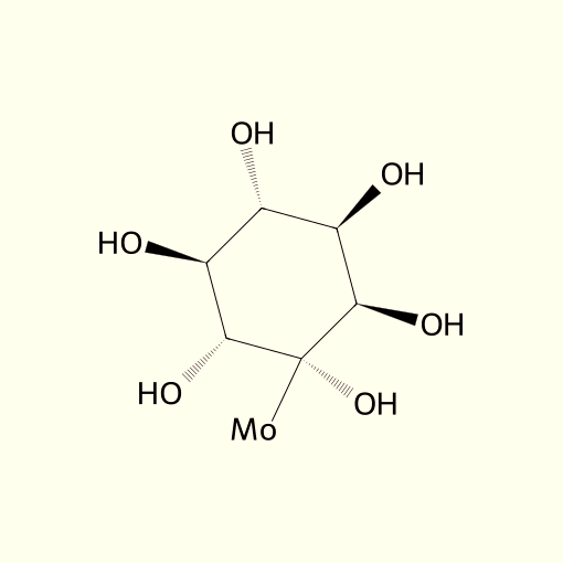 O[C@@H]1[C@@H](O)[C@@H](O)[C@@](O)([Mo])[C@H](O)[C@H]1O